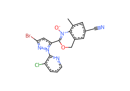 Cc1cc(C#N)cc2c1[N+]([O-])=C(c1cc(Br)nn1-c1ncccc1Cl)OC2